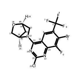 Fc1c(Br)c(C(F)(F)F)cc2c(N3C[C@H]4C[C@@H]3CO4)nc(Cl)nc12